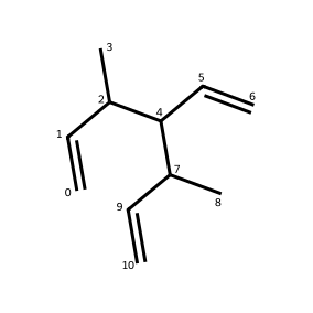 C=CC(C)C(C=C)C(C)C=C